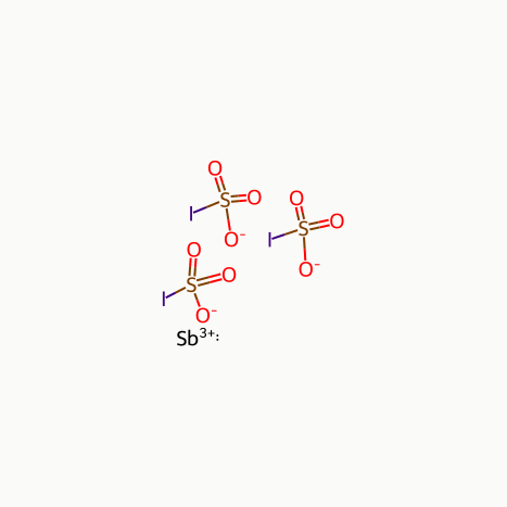 O=S(=O)([O-])I.O=S(=O)([O-])I.O=S(=O)([O-])I.[Sb+3]